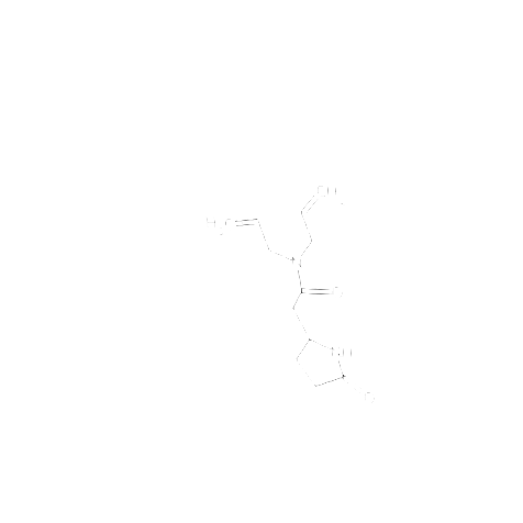 C=CCN(CC=C)C(=O)CC1CCC(=O)N1